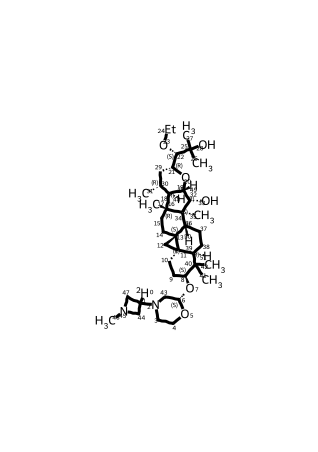 [2H]C1(N2CCO[C@@H](O[C@H]3CC[C@]45C[C@]46CC[C@]4(C)[C@@H]7[C@H](O[C@@H]([C@H](OCC)C(C)(C)O)C[C@H]7C)[C@H](O)[C@@]4(C)[C@@H]6CC[C@H]5C3(C)C)C2)CN(C)C1